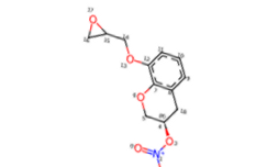 O=[N+]([O-])O[C@H]1COc2c(cccc2OCC2CO2)C1